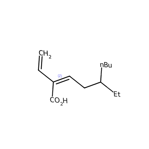 C=C/C(=C/CC(CC)CCCC)C(=O)O